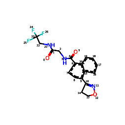 O=C(CNC(=O)c1ccc(C2=NOCC2)c2ccccc12)NCC(F)(F)F